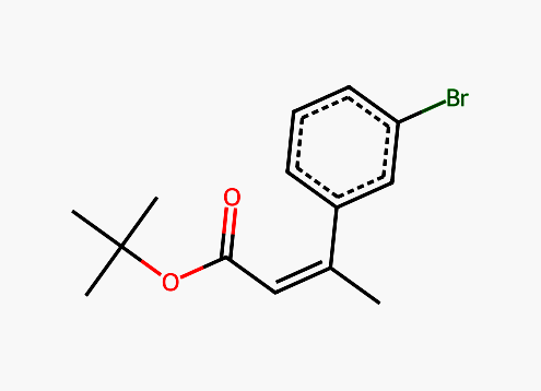 C/C(=C/C(=O)OC(C)(C)C)c1cccc(Br)c1